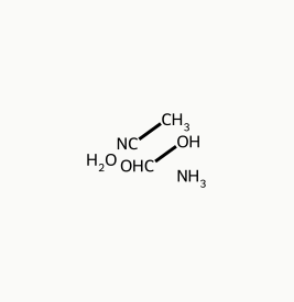 CC#N.N.O.O=CO